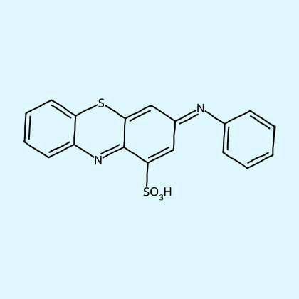 O=S(=O)(O)c1cc(=Nc2ccccc2)cc2sc3ccccc3nc1-2